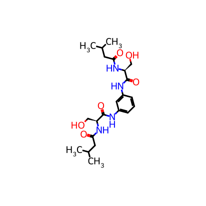 CC(C)CC(=O)N[C@@H](CO)C(=O)Nc1cccc(NC(=O)[C@H](CO)NC(=O)CC(C)C)c1